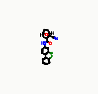 N#CC1=C(C(=O)Nc2ccc(-c3ccccc3F)c(F)c2)C[C@H]2CC[C@@H]1O2